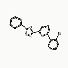 CCc1ccccc1-c1cncc(-c2nnc(-c3ccccc3)o2)n1